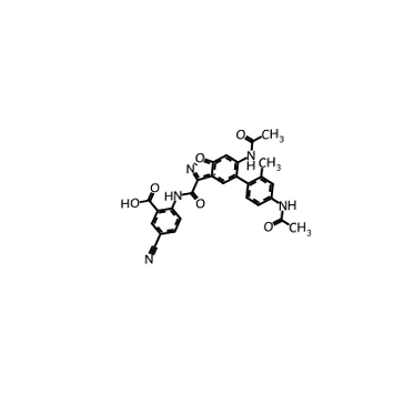 CC(=O)Nc1ccc(-c2cc3c(C(=O)Nc4ccc(C#N)cc4C(=O)O)noc3cc2NC(C)=O)c(C)c1